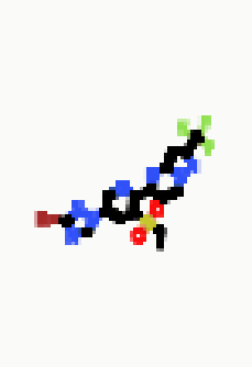 CCS(=O)(=O)c1cc(-n2cnc(Br)n2)cnc1-c1ccn2nc(C(F)(F)F)cc2n1